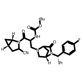 CC(C)[C@@H](c1ccc(F)cc1)N1C(=O)C2C[C@H]1CN2CC(NC(=O)OC(C)(C)C)C(=O)N1C(C#N)C[C@@H]2C[C@@H]21